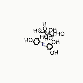 O=C[C@H](O)[C@@H](O)[C@H](O)[C@H](O)CO.Oc1ccc(/C=C/c2cc(O)cc(O)c2)cc1